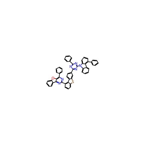 c1ccc(-c2nc(-c3ccc4c(c3)sc3cccc(-c5nc(-c6ccccc6)c6oc7ccccc7c6n5)c34)nc(-n3c4ccccc4c4c(-c5ccccc5)cccc43)n2)cc1